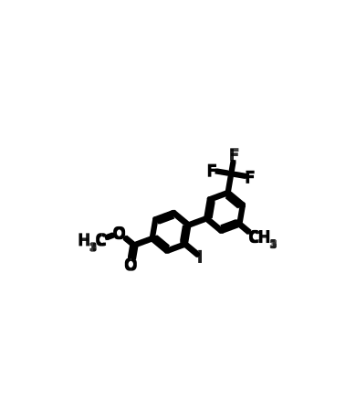 COC(=O)c1ccc(-c2cc(C)cc(C(F)(F)F)c2)c(I)c1